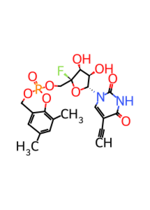 C#Cc1cn([C@@H]2O[C@](F)(COP3(=O)OCc4cc(C)cc(C)c4O3)[C@@H](O)[C@H]2O)c(=O)[nH]c1=O